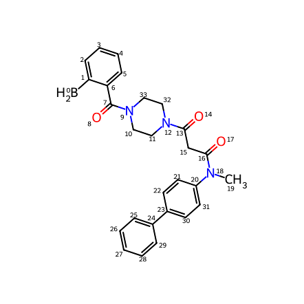 Bc1ccccc1C(=O)N1CCN(C(=O)CC(=O)N(C)c2ccc(-c3ccccc3)cc2)CC1